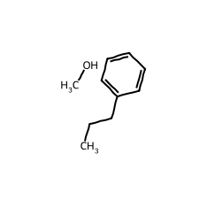 CCCc1ccccc1.CO